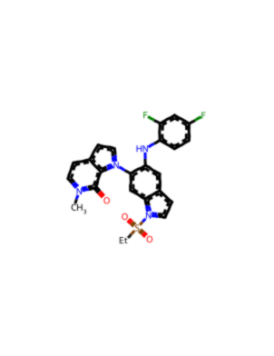 CCS(=O)(=O)n1ccc2cc(Nc3ccc(F)cc3F)c(-n3ccc4ccn(C)c(=O)c43)cc21